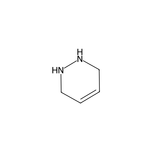 C1=CCNNC1